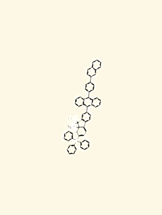 CC12CC([Si](c3ccccc3)(c3ccccc3)c3ccccc3)=CC=C1c1ccc(-c3c4ccccc4c(-c4ccc(-c5ccc6ccccc6c5)cc4)c4ccccc34)cc1C2(C)C